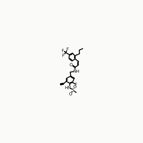 C#Cc1cc(CNC(=O)/C=C\c2ccc(C(F)(F)F)cc2CCC)cc(F)c1NS(C)(=O)=O